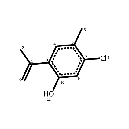 C=C(C)c1cc(C)c(Cl)cc1O